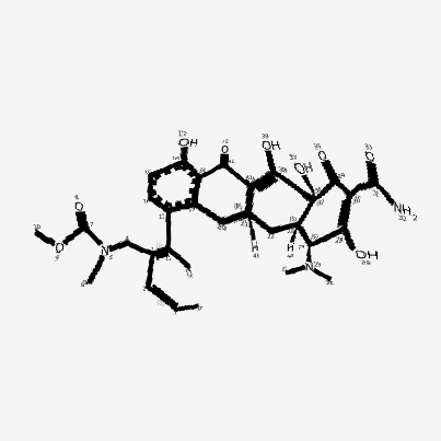 C/C=C\C(CN(C)C(=O)OC)=C(/C)c1ccc(O)c2c1C[C@H]1C[C@H]3[C@H](N(C)C)C(O)=C(C(N)=O)C(=O)[C@@]3(O)C(O)=C1C2=O